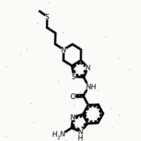 CSCCCN1CCc2nc(NC(=O)c3cccc4[nH]c(N)nc34)sc2C1